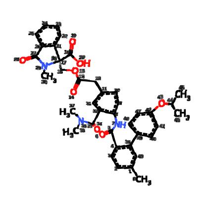 Cc1ccc(C(=O)Nc2ccc(CC(=O)OC[C@@]3(C(=O)O)c4ccccc4C(=O)N3C)cc2C(=O)N(C)C)c(-c2ccc(OC(C)C)cc2)c1